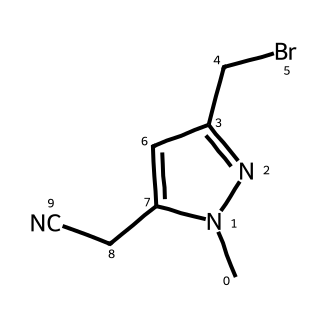 Cn1nc(CBr)cc1CC#N